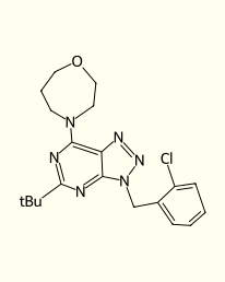 CC(C)(C)c1nc(N2CCCOCC2)c2nnn(Cc3ccccc3Cl)c2n1